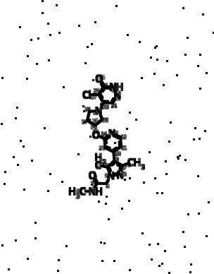 CNC(=O)Cn1nc(C)c(-c2ccnc(O[C@@H]3CCN(c4cn[nH]c(=O)c4Cl)C3)c2)c1C